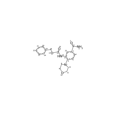 NC(=O)c1ccc(N2CCOCC2)c(NC(=O)OCc2ccccc2)c1